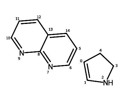 C1=CNCC1.c1cnc2ncccc2c1